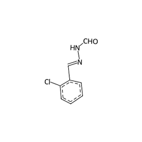 O=CNN=Cc1ccccc1Cl